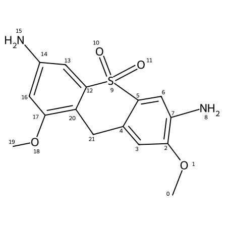 COc1cc2c(cc1N)S(=O)(=O)c1cc(N)cc(OC)c1C2